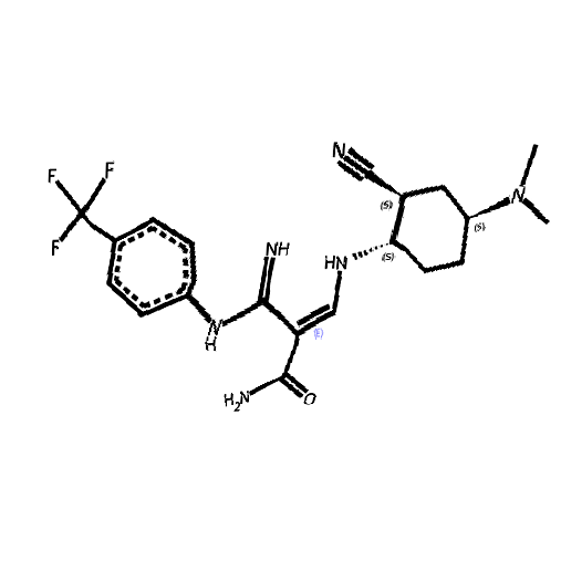 CN(C)[C@H]1CC[C@H](N/C=C(\C(=N)Nc2ccc(C(F)(F)F)cc2)C(N)=O)[C@@H](C#N)C1